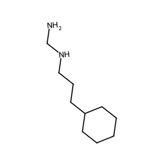 NCNCCCC1CCCCC1